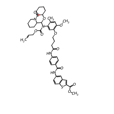 C=CCOC(=O)N(c1cc(OCCCC(=O)Nc2ccc(C(=O)Nc3ccc4sc(C(=O)OC)cc4c3)cc2)c(OC)cc1C)C(OC1CCCCO1)C1CCCCN1C=O